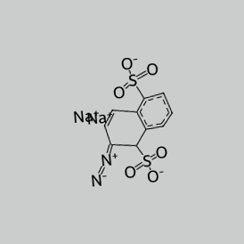 [N-]=[N+]=C1C=Cc2c(cccc2S(=O)(=O)[O-])C1S(=O)(=O)[O-].[Na+].[Na+]